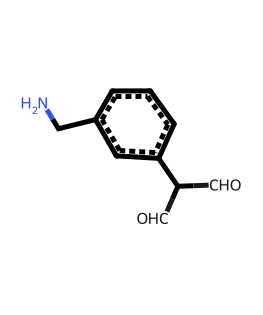 NCc1cccc(C(C=O)C=O)c1